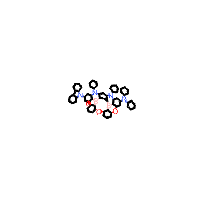 c1ccc(N(c2ccccc2)c2cc3c4c(c2)N(c2ccccc2)c2cc5c6cc2B4c2c(cccc2O3)Oc2cccc3c2B6c2c(cc(-n4c6ccccc6c6ccccc64)cc2N5c2ccccc2)O3)cc1